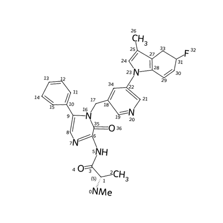 CN[C@@H](C)C(=O)Nc1ncc(-c2ccccc2)n(Cc2cncc(-n3cc(C)c4c3C=CC(F)C4)c2)c1=O